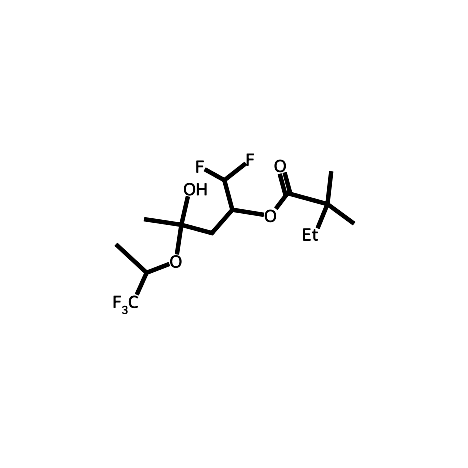 CCC(C)(C)C(=O)OC(CC(C)(O)OC(C)C(F)(F)F)C(F)F